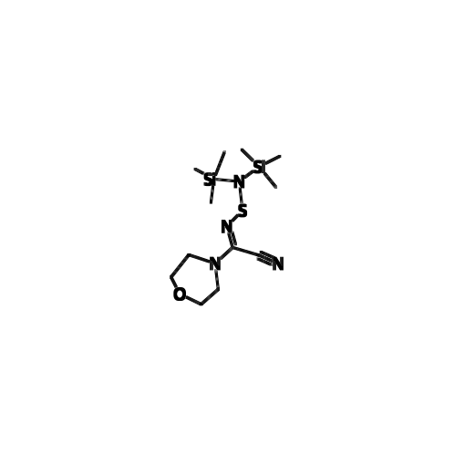 C[Si](C)(C)N(SN=C(C#N)N1CCOCC1)[Si](C)(C)C